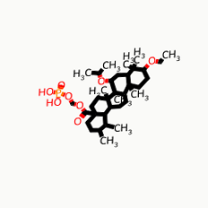 CCOC1CCC2(C)C(CC(OC(C)C)C3(C)C2CCC2C4C(C)C(C)CCC4(C(=O)OCOP(=O)(O)O)CCC23C)C1(C)C